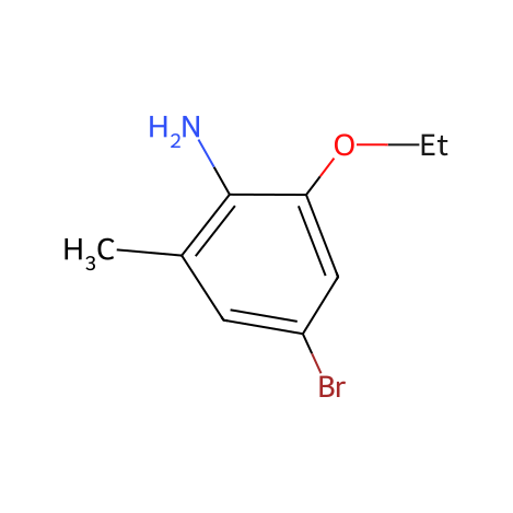 CCOc1cc(Br)cc(C)c1N